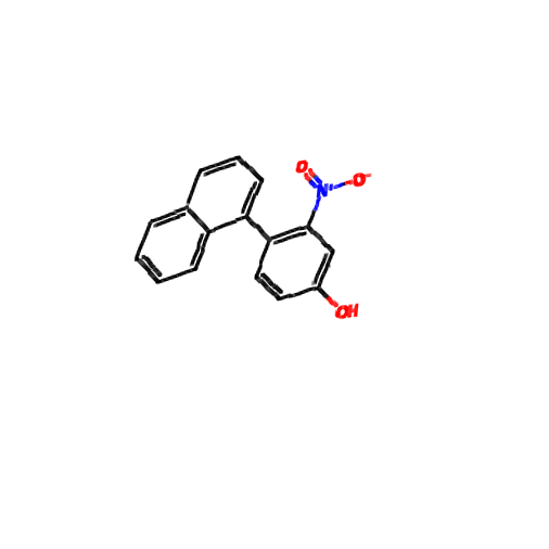 O=[N+]([O-])c1cc(O)ccc1-c1cccc2ccccc12